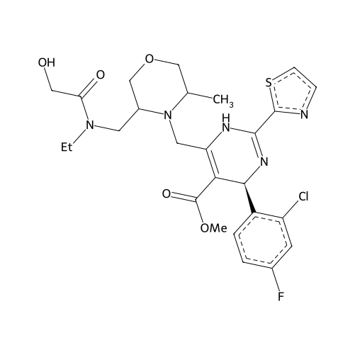 CCN(CC1COCC(C)N1CC1=C(C(=O)OC)[C@H](c2ccc(F)cc2Cl)N=C(c2nccs2)N1)C(=O)CO